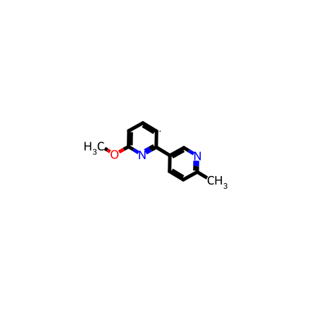 COc1cc[c]c(-c2ccc(C)nc2)n1